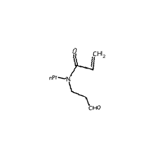 C=CC(=O)N(CCC)CCC=O